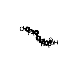 Cn1c(CN2CCC(c3cccc(OCc4ccc(Cl)cc4F)n3)CC2)nc2cc(F)c(C(=O)O)cc21